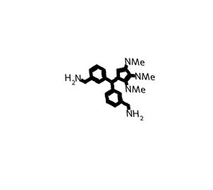 CNC1=C[C](C(c2cccc(CN)c2)c2cccc(CN)c2)C(NC)=C1NC